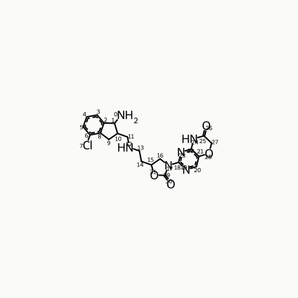 NC1c2cccc(Cl)c2CC1CNCCC1CN(c2ncc3c(n2)NC(=O)CO3)C(=O)O1